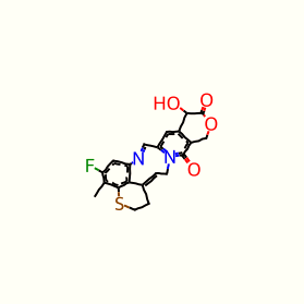 Cc1c(F)cc2c3c1SCC/C3=C\Cn1c(cc3c(c1=O)COC(=O)C3O)/C=N/2